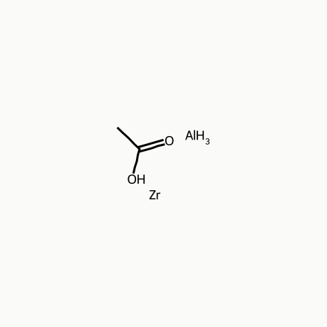 CC(=O)O.[AlH3].[Zr]